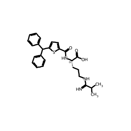 CC(C)C(=N)NCCC[C@H](NC(=O)c1ccc(C(c2ccccc2)c2ccccc2)s1)C(=O)O